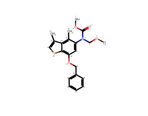 CCOCN(C(=O)OC(C)(C)C)c1cc(OCc2ccccc2)c2scc(C)c2c1C